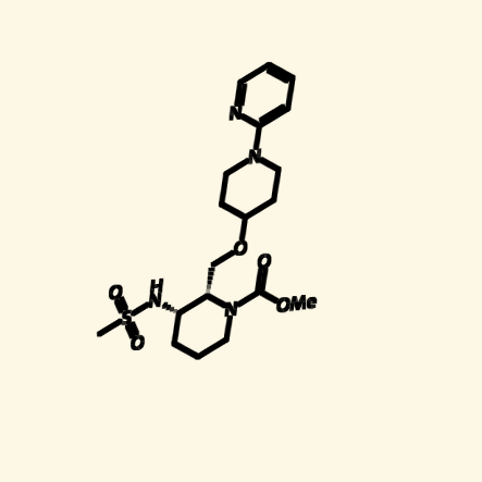 COC(=O)N1CCC[C@H](NS(C)(=O)=O)[C@@H]1COC1CCN(c2ccccn2)CC1